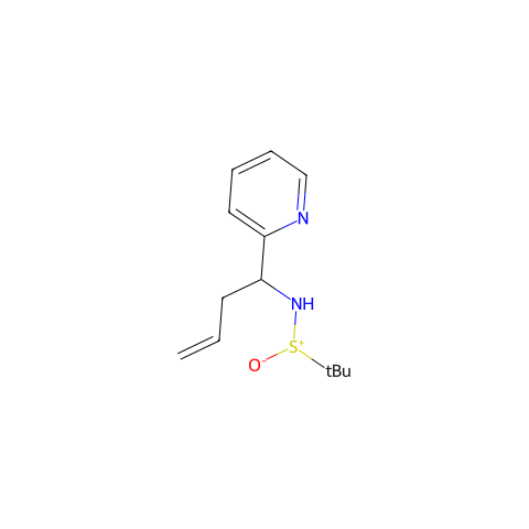 C=CCC(N[S+]([O-])C(C)(C)C)c1ccccn1